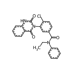 CCN(C(=O)c1ccc(Cl)c(-n2c(=O)[nH]c3ccccc3c2=O)c1)c1ccccc1